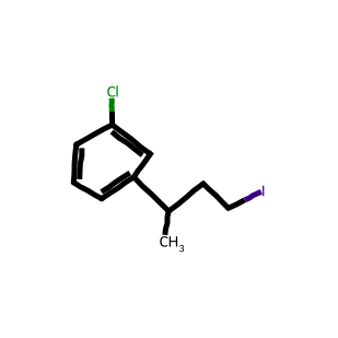 CC(CCI)c1cccc(Cl)c1